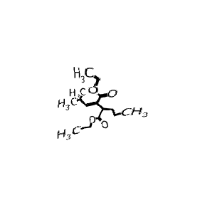 CCCC(C(=O)OCC)C(=CC(C)C)C(=O)OCC